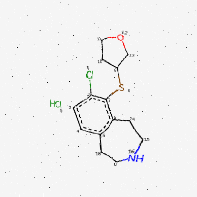 Cl.Clc1ccc2c(c1SC1CCOC1)CCNCC2